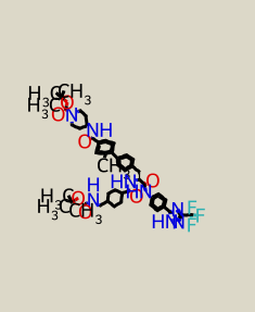 Cc1cc(C(=O)NC2CCN(C(=O)OC(C)(C)C)CC2)ccc1-c1ccc(C[C@H](NC(=O)C2CCC(CNC(=O)OC(C)(C)C)CC2)C(=O)Nc2ccc(-c3nc(C(F)(F)F)n[nH]3)cc2)cc1